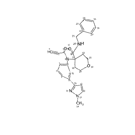 C#CC(O)N(c1cccc(-c2ccn(C)n2)c1)C1(C(=O)NCc2ccccc2)CCOCC1